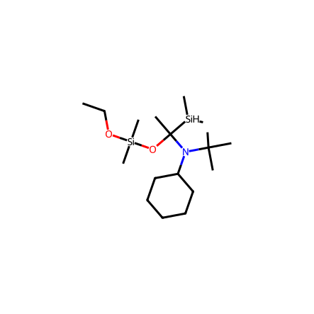 CCO[Si](C)(C)OC(C)(N(C1CCCCC1)C(C)(C)C)[SiH](C)C